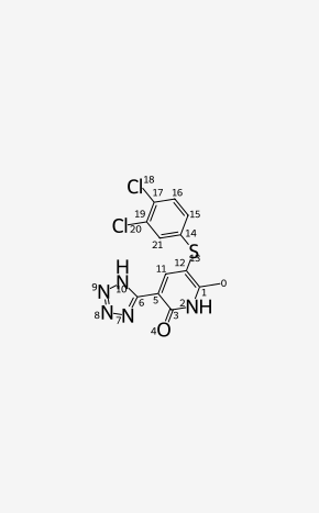 Cc1[nH]c(=O)c(-c2nnn[nH]2)cc1Sc1ccc(Cl)c(Cl)c1